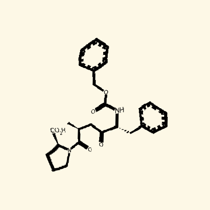 C[C@@H](CC(=O)[C@@H](Cc1ccccc1)NC(=O)OCc1ccccc1)C(=O)N1CCC[C@H]1C(=O)O